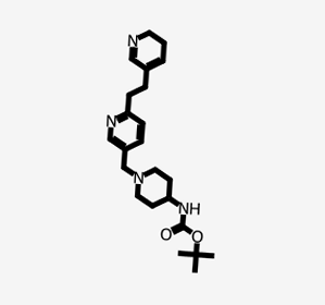 CC(C)(C)OC(=O)NC1CCN(Cc2ccc(CCC3=CCCN=C3)nc2)CC1